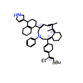 CCCC/C=C(\CC)C1=CC=C(\C2=C3/CCCC/C3=C(C)\C(C)=C\C=C(\C3CCC(C4=CCNC4)C4=C3CCCC4)CN(c3ccccc3)C2)CC1